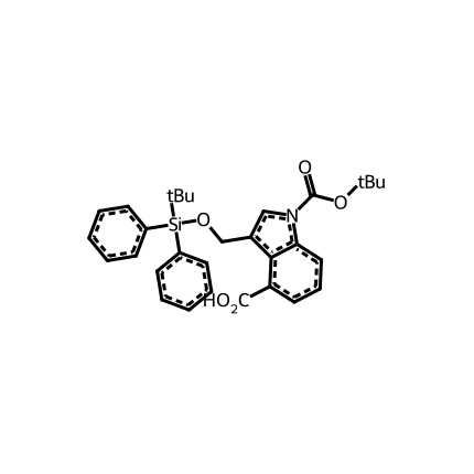 CC(C)(C)OC(=O)n1cc(CO[Si](c2ccccc2)(c2ccccc2)C(C)(C)C)c2c(C(=O)O)cccc21